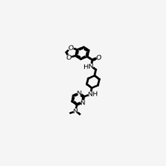 CN(C)c1ccnc(NC2CCC(CNC(=O)c3ccc4c(c3)OCO4)CC2)n1